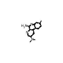 Cc1ccc2c(c1)nc(N)c1ncc(N(C)C)cc12